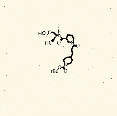 C#CC(CC(=O)O)NC(=O)[C@H]1CCCN(C(=O)CCC2CCN(C(=O)OC(C)(C)C)CC2)C1